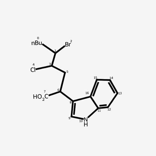 CCCCC(Br)C(Cl)CC(C(=O)O)c1c[nH]c2ccccc12